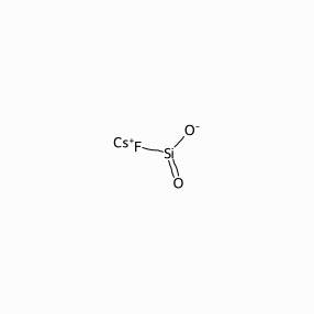 O=[Si]([O-])F.[Cs+]